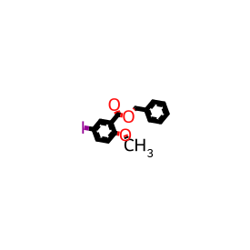 COc1ccc(I)cc1C(=O)OCc1ccccc1